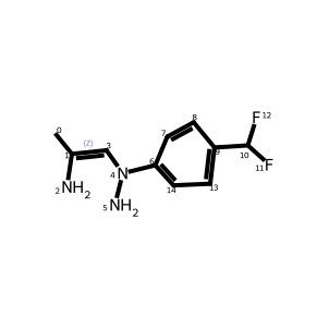 C/C(N)=C/N(N)c1ccc(C(F)F)cc1